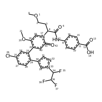 COCCC(C(=O)Nc1ccc(C(=O)O)cc1)n1cc(OC)c(-c2cc(Cl)ccc2-c2cnn(C(F)C(F)F)c2)cc1=O